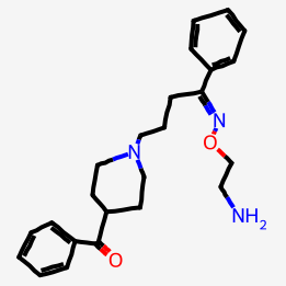 NCCON=C(CCCN1CCC(C(=O)c2ccccc2)CC1)c1ccccc1